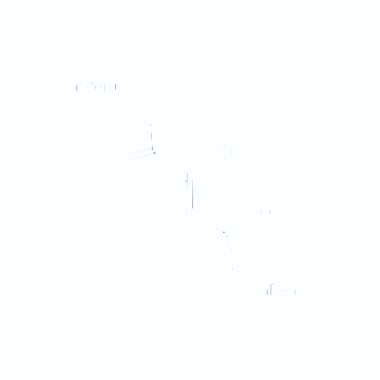 CCCCCOC(=O)/C=C(\Cl)C(=O)OCCCCC